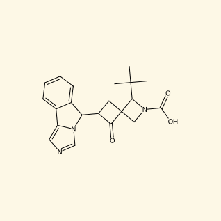 CC(C)(C)C1N(C(=O)O)CC12CC(C1c3ccccc3-c3cncn31)C2=O